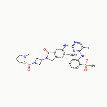 COc1cc2c(cc1Nc1ncc(I)c(Nc3ccccc3S(=O)(=O)C(C)C)n1)C(=O)N(C1CN(C(=O)[C@@H]3CCCN3C)C1)C2